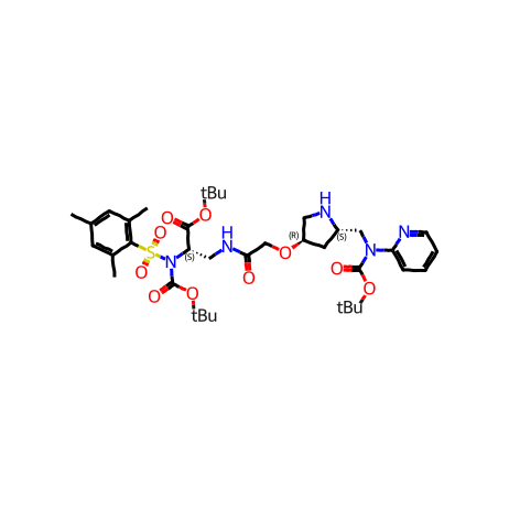 Cc1cc(C)c(S(=O)(=O)N(C(=O)OC(C)(C)C)[C@@H](CNC(=O)CO[C@H]2CN[C@H](CN(C(=O)OC(C)(C)C)c3ccccn3)C2)C(=O)OC(C)(C)C)c(C)c1